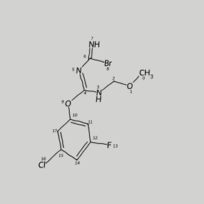 COCN/C(=N\C(=N)Br)Oc1cc(F)cc(Cl)c1